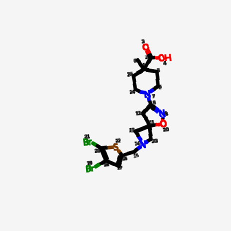 CC1(C(=O)O)CCN(C2=NOC3(C2)CN(Cc2cc(Br)c(Br)s2)C3)CC1